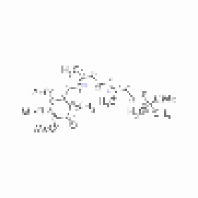 COC1=C(OC)C(OC(C)=O)C(C/C=C(\C)CC/C=C(\C)CCCC(C)(C)OC)C(C)C1=O